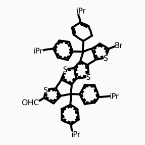 CC(C)C1=CCC(C2(c3ccc(C(C)C)cc3)c3cc(Br)sc3-c3sc4c5c(sc4c32)-c2sc(C=O)cc2C5(c2ccc(C(C)C)cc2)c2ccc(C(C)C)cc2)C=C1